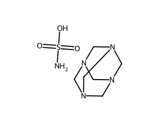 C1N2CN3CN1CN(C2)C3.NS(=O)(=O)O